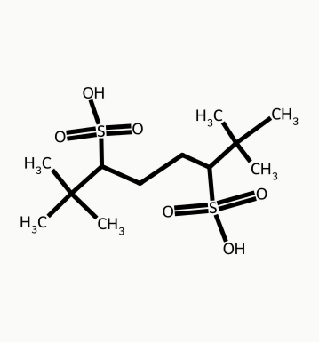 CC(C)(C)C(CCC(C(C)(C)C)S(=O)(=O)O)S(=O)(=O)O